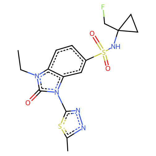 CCn1c(=O)n(-c2nnc(C)s2)c2cc(S(=O)(=O)NC3(CF)CC3)ccc21